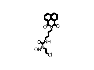 O=NN(CCCl)C(=O)NCCCCN1C(=O)c2cccc3cccc(c23)C1=O